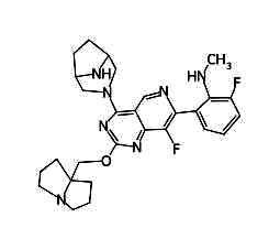 CNc1c(F)cccc1-c1ncc2c(N3CC4CCC(C3)N4)nc(OCC34CCCN3CCC4)nc2c1F